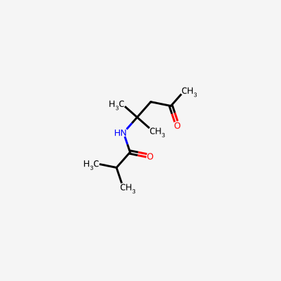 CC(=O)CC(C)(C)NC(=O)C(C)C